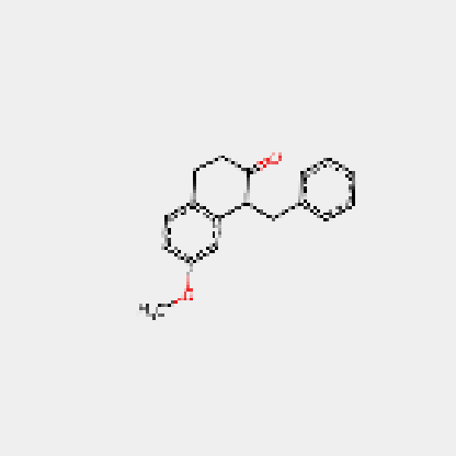 COc1ccc2c(c1)C(Cc1ccccc1)C(=O)CC2